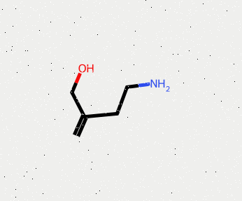 C=C(CO)CCN